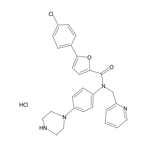 Cl.O=C(c1ccc(-c2ccc(Cl)cc2)o1)N(Cc1ccccn1)c1ccc(N2CCNCC2)cc1